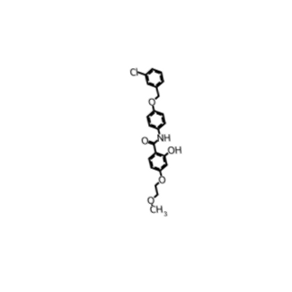 COCCOc1ccc(C(=O)Nc2ccc(OCc3cccc(Cl)c3)cc2)c(O)c1